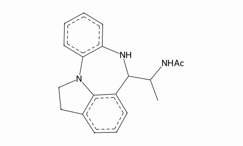 CC(=O)NC(C)C1Nc2ccccc2N2CCc3cccc1c32